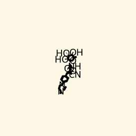 CC1O[C@H](CNS(=O)(=O)/C(C#N)=C/c2ccc(N3CCN(C)CC3)cc2)[C@@H](O)[C@H](O)[C@H]1O